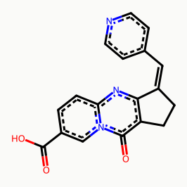 O=C(O)c1ccc2nc3c(c(=O)n2c1)CC/C3=C/c1ccncc1